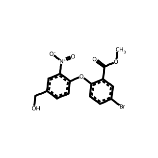 COC(=O)c1cc(Br)ccc1Oc1ccc(CO)cc1[N+](=O)[O-]